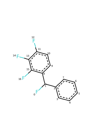 F[C](c1ccccc1)c1ccc(F)c(F)c1F